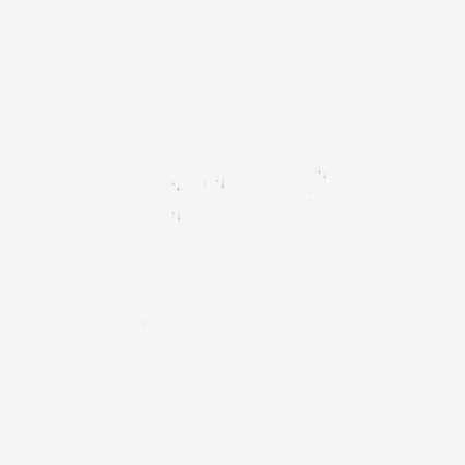 C=C(c1ccc(Nc2ccc(-c3ccc(C(C)=O)c(CC)c3)n3ccnc23)cc1)N1CCCCC1